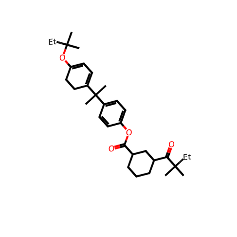 CCC(C)(C)OC1=CC=C(C(C)(C)c2ccc(OC(=O)C3CCCC(C(=O)C(C)(C)CC)C3)cc2)CC1